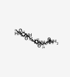 CCC(=O)Nc1ccc(NC(=O)CCSCc2ccc(NC(=O)[C@@H](C)CCCNC(N)=O)cc2)cc1